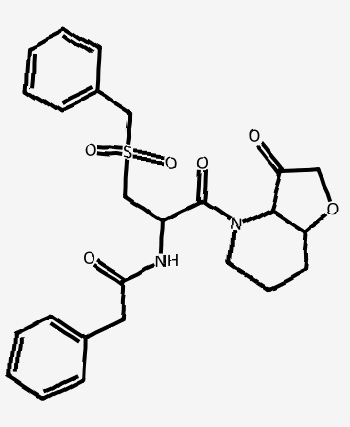 O=C(Cc1ccccc1)NC(CS(=O)(=O)Cc1ccccc1)C(=O)N1CCCC2OCC(=O)C21